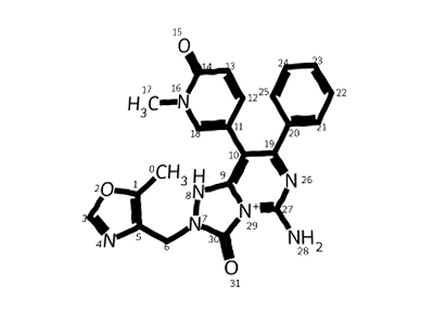 Cc1ocnc1Cn1[nH]c2c(-c3ccc(=O)n(C)c3)c(-c3ccccc3)nc(N)[n+]2c1=O